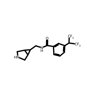 O=C(NCC1C2CNCC21)c1cccc(C(C(F)(F)F)C(F)(F)F)c1